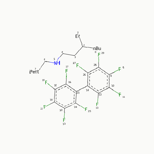 CCCCC(CC)CCNCC(C)CCC.Fc1c(F)c(F)c(-c2c(F)c(F)c(F)c(F)c2F)c(F)c1F